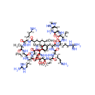 CCCCCCCCCCCCCCCC(=O)N[C@@H](CCCCN)C(=O)N[C@@H](C)C(=O)N[C@@H](CC(C)C)C(=O)N[C@@H](CCCNC(=N)N)C(=O)N[C@@H](CO)C(=O)N[C@@H](CCSC)C(=O)N[C@H](C(=O)N[C@@H](CC(=O)O)C(=O)N[C@@H](CCCCN)C(=O)N[C@@H](Cc1ccc(O)cc1)C(=O)N[C@@H](CCCNC(=N)N)C(=O)N[C@@H](CC(C)C)C(=O)N[C@@H](Cc1c[nH]cn1)C(N)=O)[C@@H](C)O